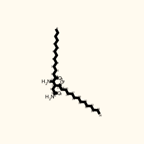 CCCCCCCCCCCCCC(=O)C(N)C(CC(N)=O)C(=O)CCCCCCCCCCCCC